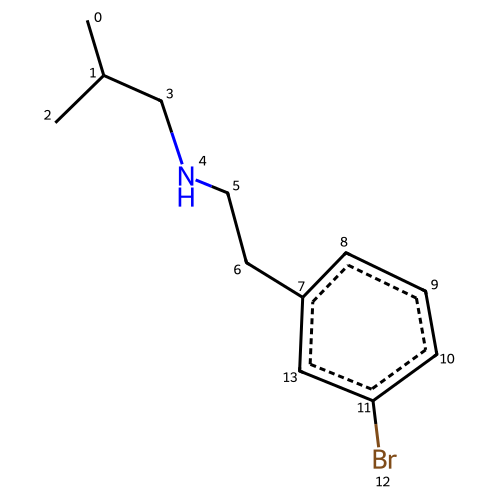 CC(C)CNCCc1cccc(Br)c1